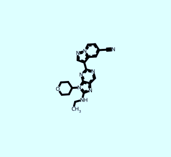 CCNc1nc2cnc(-c3cnn4ccc(C#N)cc34)nc2n1C1CCOCC1